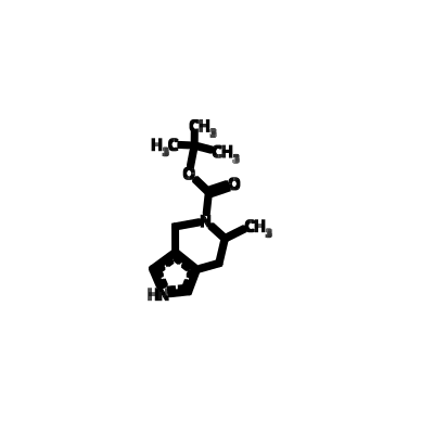 CC1Cc2c[nH]cc2CN1C(=O)OC(C)(C)C